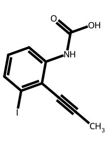 CC#Cc1c(I)cccc1NC(=O)O